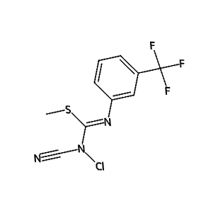 CSC(=Nc1cccc(C(F)(F)F)c1)N(Cl)C#N